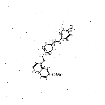 COc1ccc2nccc(CC[C@H]3OC[C@H](NCc4ccc(Cl)cn4)CO3)c2c1